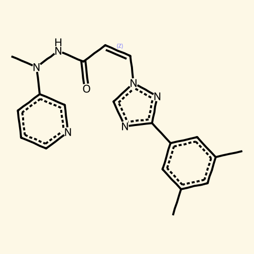 Cc1cc(C)cc(-c2ncn(/C=C\C(=O)NN(C)c3cccnc3)n2)c1